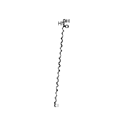 O=C(CCCCCCCCCCCCCCCCCCCCCCCCCCCCCCCCl)NO